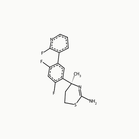 C[C@@]1(c2cc(-c3cccnc3F)c(F)cc2F)CCSC(N)=N1